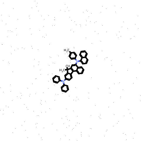 Cc1ccc(N(c2cccc3ccccc23)c2cc3c(c4ccccc24)-c2ccc(N(c4ccccc4)c4ccccc4)cc2C3(C)C)cc1